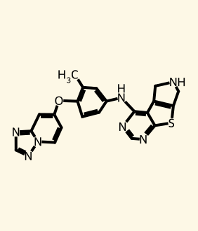 Cc1cc(Nc2ncnc3sc4c(c23)CNC4)ccc1Oc1ccn2ncnc2c1